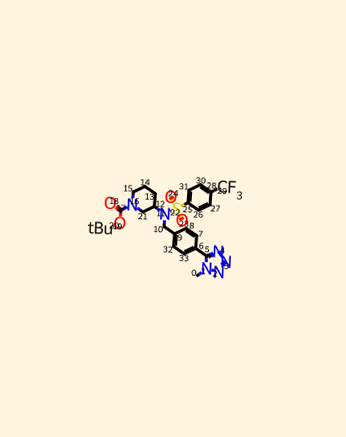 Cn1nnnc1-c1ccc(CN(C2CCCN(C(=O)OC(C)(C)C)C2)S(=O)(=O)c2ccc(C(F)(F)F)cc2)cc1